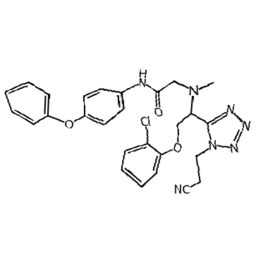 CN(CC(=O)Nc1ccc(Oc2ccccc2)cc1)C(COc1ccccc1Cl)c1nnnn1CCC#N